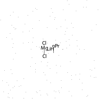 C[CH]CC.[Cl][Mg][Cl].[LiH]